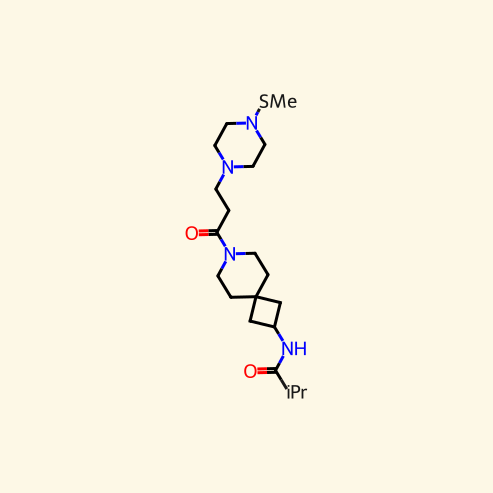 CSN1CCN(CCC(=O)N2CCC3(CC2)CC(NC(=O)C(C)C)C3)CC1